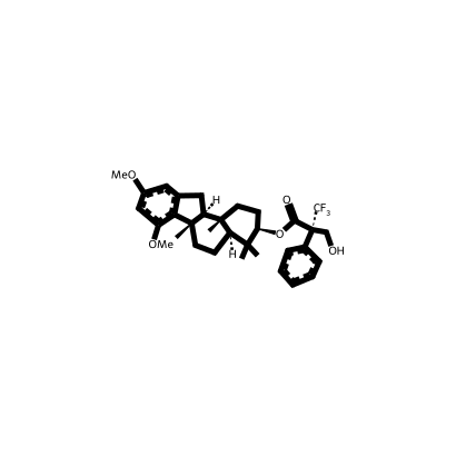 COc1cc2c(c(OC)c1)[C@@]1(C)CC[C@@H]3C(C)(C)[C@H](OC(=O)[C@@](CO)(c4ccccc4)C(F)(F)F)CC[C@@]3(C)[C@@H]1C2